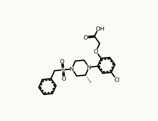 C[C@@H]1CN(S(=O)(=O)Cc2ccccc2)CCN1c1cc(Cl)ccc1OCC(=O)O